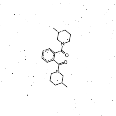 CC1CCCN(C(=O)c2ccccc2C(=O)N2CCCC(C)C2)C1